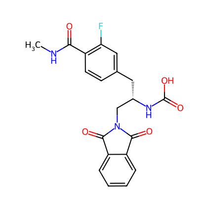 CNC(=O)c1ccc(C[C@@H](CN2C(=O)c3ccccc3C2=O)NC(=O)O)cc1F